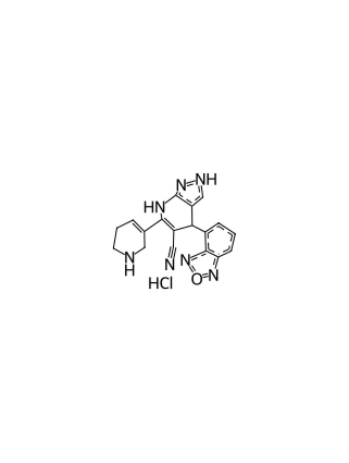 Cl.N#CC1=C(C2=CCCNC2)Nc2n[nH]cc2C1c1cccc2nonc12